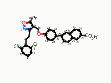 CC(C)c1onc(CCc2c(Cl)cccc2Cl)c1COc1ccc(-c2ccc3cc(C(=O)O)ccc3c2)cc1